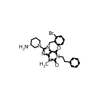 Cn1c(=O)n(CCc2ccccc2)c(=O)c2c1nc(N1CCC[C@@H](N)C1)n2Cc1ccccc1Br